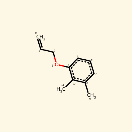 C=CCOc1cccc(C)c1C